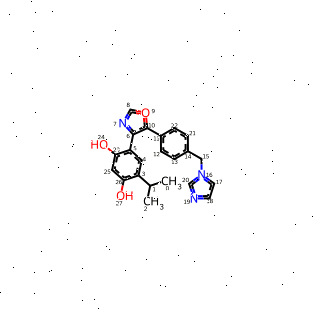 CC(C)c1cc(-c2ncoc2-c2ccc(Cn3ccnc3)cc2)c(O)cc1O